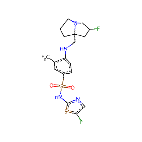 O=S(=O)(Nc1ncc(F)s1)c1ccc(NCC23CCCN2CC(F)C3)c(C(F)(F)F)c1